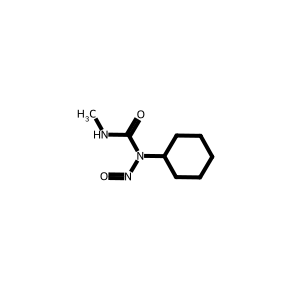 CNC(=O)N(N=O)C1CCCCC1